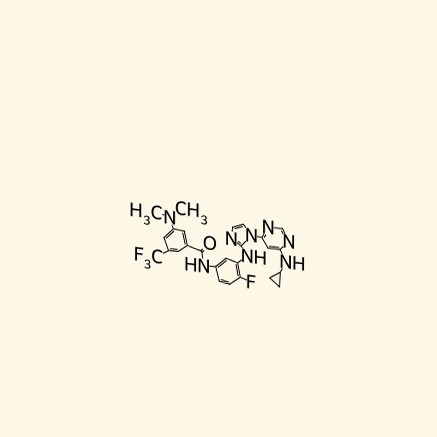 CN(C)c1cc(C(=O)Nc2ccc(F)c(Nc3nccn3-c3cc(NC4CC4)ncn3)c2)cc(C(F)(F)F)c1